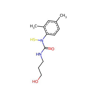 Cc1ccc(N(S)C(=O)NCCCO)c(C)c1